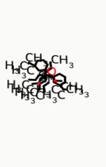 CCC[CH2][Sn]([CH2]CCC)([CH2]CCC)[C]1(O[C]2([Sn]([CH2]CCC)([CH2]CCC)[CH2]CCC)CCCC(C)(C(C)C)C2)CCCC(C)(C(C)C)C1